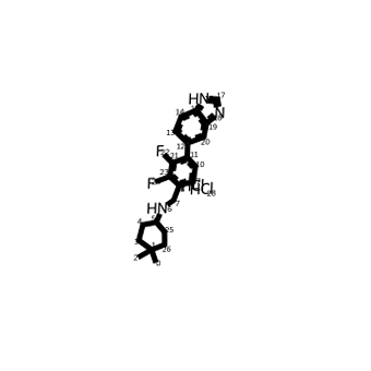 CC1(C)CCC(NCc2ccc(-c3ccc4[nH]cnc4c3)c(F)c2F)CC1.Cl.Cl